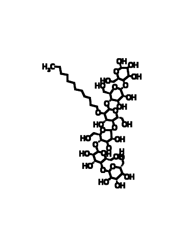 CCCCCCCCCCCCO[C@H]1[C@@H](O[C@H]2[C@H](O)[C@@H](O)[C@@H](O[C@H]3[C@H](O)[C@@H](O)[C@@H](O)O[C@@H]3CO)O[C@@H]2CO)O[C@H](CO)[C@@H](O[C@H]2O[C@H](CO)[C@@H](O[C@H]3O[C@H](CO)[C@@H](O[C@H]4O[C@H](CO)[C@@H](O)[C@H](O)[C@H]4O)[C@H](O)[C@H]3O)[C@H](O)[C@H]2O)[C@@H]1O